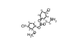 COc1cc(Cl)ccc1OB(OCCN)Oc1ccc(Cl)cc1